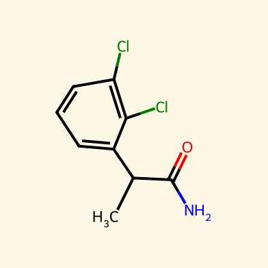 CC(C(N)=O)c1cccc(Cl)c1Cl